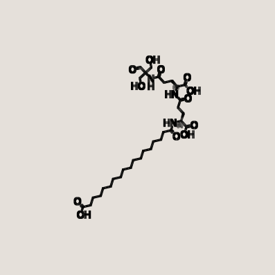 O=CC(CO)(CO)NC(=O)CC[C@H](NC(=O)CC[C@H](NC(=O)CCCCCCCCCCCCCCCCC(=O)O)C(=O)O)C(=O)O